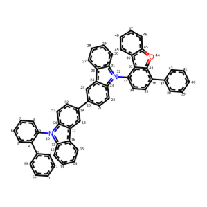 c1ccc(-c2ccccc2-n2c3ccccc3c3cc(-c4ccc5c(c4)c4ccccc4n5-c4ccc(-c5ccccc5)c5oc6ccccc6c45)ccc32)cc1